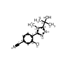 Cn1c(-c2ccc(C#N)cc2Cl)nnc1C(C)(C)O